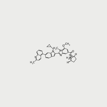 COc1cc(C(=O)N2C[C@H]3CC[C@@H]2[C@@H]3N)cc2nc(-c3cc4ccc(-c5cccc6nc(C)ccc56)cc4n3CC3CC3)n(C)c12